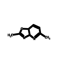 CC1=NC2N=C(C)OC2C=C1